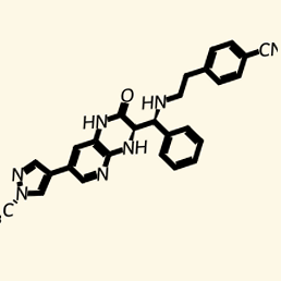 Cn1cc(-c2cnc3c(c2)NC(=O)[C@@H]([C@@H](NCCc2ccc(C#N)cc2)c2ccccc2)N3)cn1